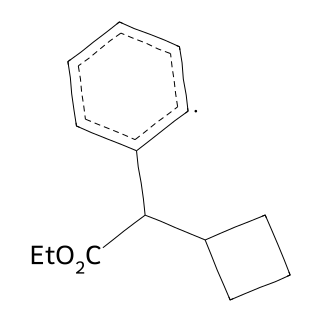 CCOC(=O)C(c1[c]cccc1)C1CCC1